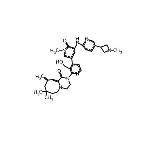 C=C1/C=C2/C(=O)N(c3nccc(-c4cc(Nc5ccc(C6CN(C)C6)cn5)c(=O)n(C)c4)c3CO)CCN2CCC(C)(C)C1